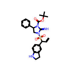 C=CC(c1ccc2c(c1)CCN2)S(=O)(=O)N1CC(c2ccccc2)N(C(=O)OC(C)(C)C)C1=N